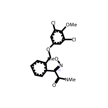 CNC(=O)/C(=N/OC)c1ccccc1COc1cc(Cl)c(OC)c(Cl)c1